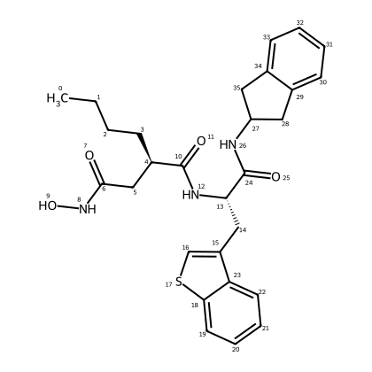 CCCC[C@H](CC(=O)NO)C(=O)N[C@@H](Cc1csc2ccccc12)C(=O)NC1Cc2ccccc2C1